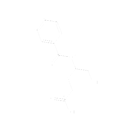 CCC(OC(=O)c1ccccc1)SCC(=O)O